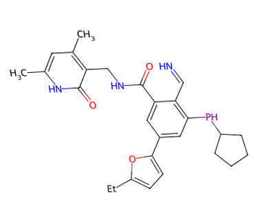 CCc1ccc(-c2cc(PC3CCCC3)c(C=N)c(C(=O)NCc3c(C)cc(C)[nH]c3=O)c2)o1